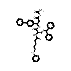 O=C(CCCCNc1ccccn1)N[C@H](CSC(c1ccccc1)c1ccccc1)C(=O)NC(CC(=O)OC(=O)C(F)(F)F)c1ccc(-c2ccccc2)cc1